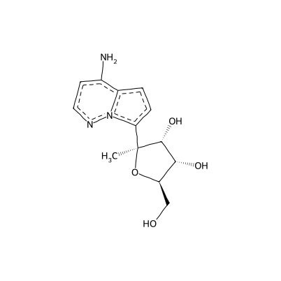 C[C@@]1(c2ccc3c(N)ccnn23)O[C@H](CO)[C@@H](O)[C@H]1O